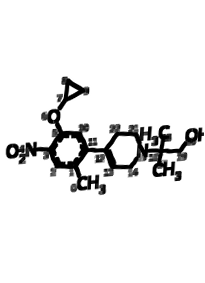 Cc1cc([N+](=O)[O-])c(OC2CC2)cc1C1=CCN(C(C)(C)CO)CC1